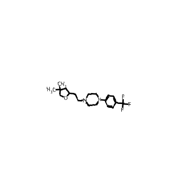 CC1(C)COC(CCN2CCN(c3ccc(C(F)(F)F)cc3)CC2)C1